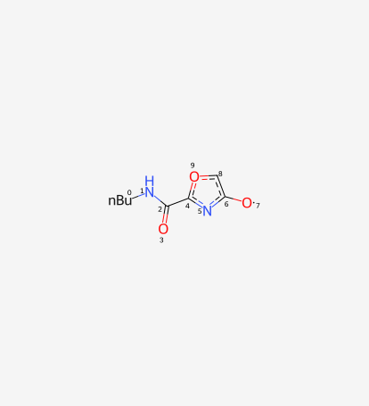 CCCCNC(=O)c1nc([O])co1